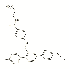 Cc1ccc(-c2ccc(-c3ccc(OC(F)(F)F)cc3)cc2COc2ccc(C(=O)NCCC(=O)O)cc2)cc1